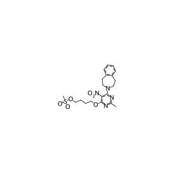 Cc1nc(OCCCCOS(C)(=O)=O)c([N+](=O)[O-])c(N2CCc3ccccc3CC2)n1